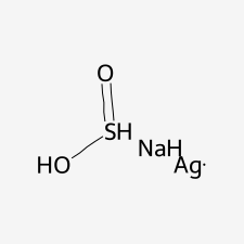 O=[SH]O.[Ag].[NaH]